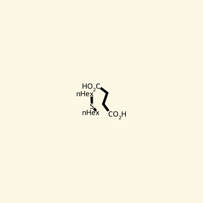 CCCCCCSCCCCCC.O=C(O)CCC(=O)O